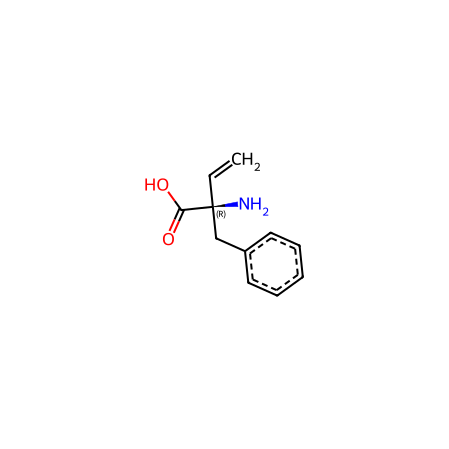 C=C[C@](N)(Cc1ccccc1)C(=O)O